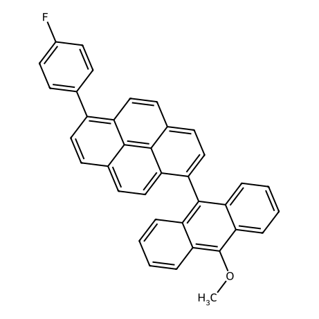 COc1c2ccccc2c(-c2ccc3ccc4c(-c5ccc(F)cc5)ccc5ccc2c3c54)c2ccccc12